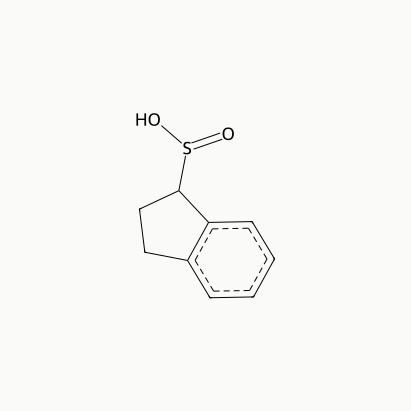 O=S(O)C1CCc2ccccc21